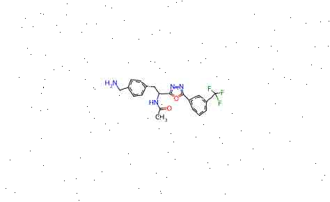 CC(=O)NC(Cc1ccc(CN)cc1)c1nnc(-c2cccc(C(F)(F)F)c2)o1